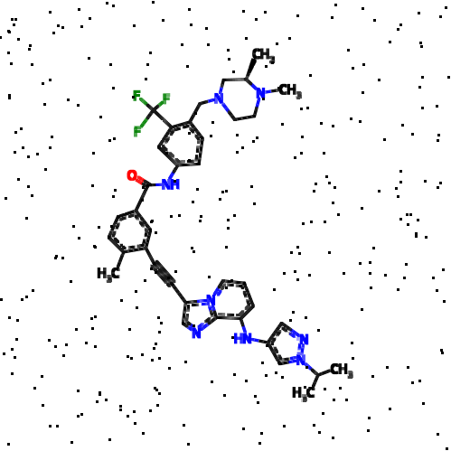 Cc1ccc(C(=O)Nc2ccc(CN3CCN(C)[C@H](C)C3)c(C(F)(F)F)c2)cc1C#Cc1cnc2c(Nc3cnn(C(C)C)c3)cccn12